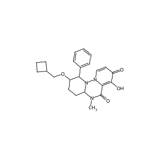 CN1C(=O)c2c(O)c(=O)ccn2N2C(c3ccccc3)C(OCC3CCC3)CCC12